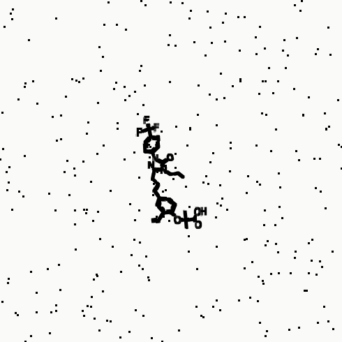 C=Cc1cc(CCCc2nn(-c3ccc(C(F)(F)F)cc3)c(=O)n2CCC)ccc1OC(C)(C)C(=O)O